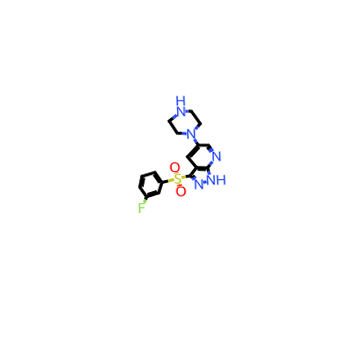 O=S(=O)(c1cccc(F)c1)c1n[nH]c2ncc(N3CCNCC3)cc12